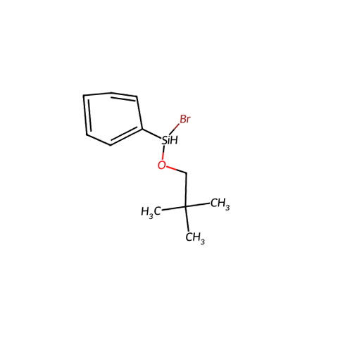 CC(C)(C)CO[SiH](Br)c1ccccc1